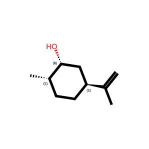 C=C(C)[C@H]1CC[C@H](C)[C@H](O)C1